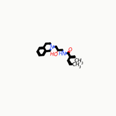 C/C=C\C(=C/C)C(=O)NC[C@H](O)CN1CCc2ccccc2C1